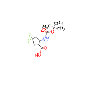 CC(C)(C)OC(=O)NC1CC(F)(F)CC1C(=O)O